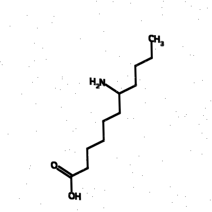 CCCCC(N)CCCCCC(=O)O